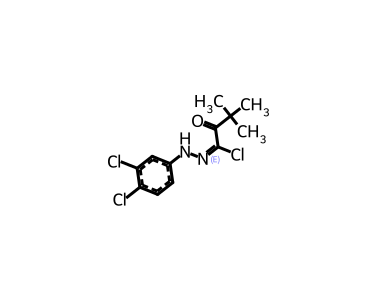 CC(C)(C)C(=O)/C(Cl)=N\Nc1ccc(Cl)c(Cl)c1